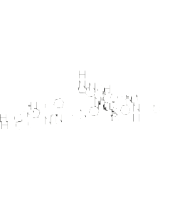 Cc1ccccc1[C@@H]1CN(Cc2ccnc3c2OCC(C)(C)O3)CCN1C1CC2(CCN(c3ccc(C(=O)NS(=O)(=O)c4ccc(NCC5CCOCC5)c([N+](=O)[O-])c4)c(N4c5cc6cc[nH]c6nc5O[C@H]5COCC[C@@H]54)c3)CC2)C1